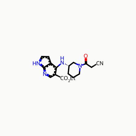 CCOC(=O)c1cnc2[nH]ccc2c1N[C@H]1CCCN(C(=O)CC#N)C1